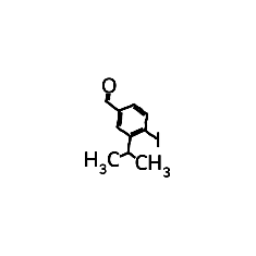 CC(C)c1cc(C=O)ccc1I